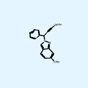 CNC#CC(c1ccccc1)n1cc2ccc(OC)cc2n1